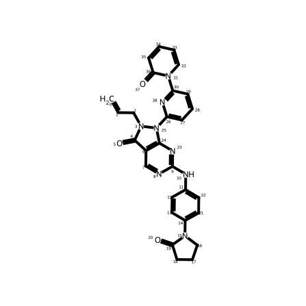 C=CCn1c(=O)c2cnc(Nc3ccc(N4CCCC4=O)cc3)nc2n1-c1cccc(-n2ccccc2=O)n1